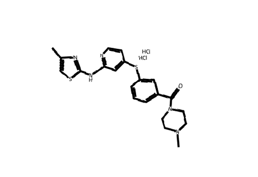 Cc1csc(Nc2cc(Sc3cccc(C(=O)N4CCN(C)CC4)c3)ccn2)n1.Cl.Cl